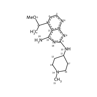 COC(C)c1ccnc2nc(NC3CCN(C)CC3)nc(N)c12